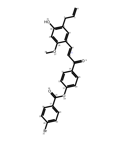 C=CCc1cc(/C=C/C(=O)c2ccc(OC(=O)c3ccc(Br)cc3)cc2)c(OC)cc1O